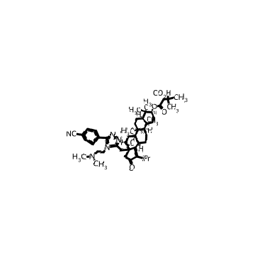 CC(C)C1=C2[C@H]3CC[C@@H]4[C@@]5(C)CC[C@H](OC(=O)CC(C)(C)C(=O)O)C(C)(C)[C@@H]5CC[C@@]4(C)[C@]3(C)CCC2(Cc2nnc(-c3ccc(C#N)cc3)n2CCN(C)C)CC1=O